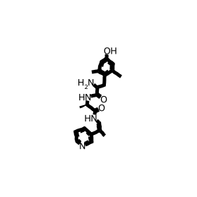 CC(=CNC(=O)[C@@H](C)NC(=O)C(N)Cc1c(C)cc(O)cc1C)c1cccnc1